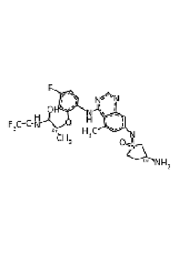 Cc1cc(N=S2(=O)CC[C@H](N)C2)cc2ncnc(Nc3ccc(F)cc3O[C@H](C)C(O)NCC(F)(F)F)c12